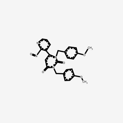 COc1ccc(Cn2c(-c3cccnc3N=O)cc(=O)n(Cc3ccc(OC)cc3)c2=O)cc1